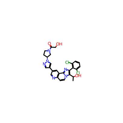 CC(O)c1c(-c2c(Cl)cccc2Cl)nc2c3cc(-c4cnn([C@H]5CCN(C(=O)CO)C5)c4)cnc3ccn12